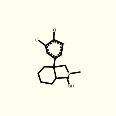 CN(C)CC1(c2ccc(Cl)c(Cl)c2)CCCCC1CO